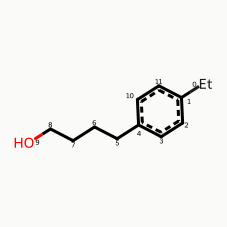 CCc1ccc(CCCCO)cc1